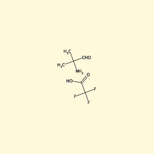 CC(C)(N)C=O.O=C(O)C(F)(F)F